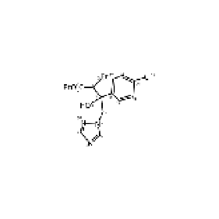 CCOC(=O)C(CC)C(O)(Cn1cncn1)c1ccc(Cl)cc1